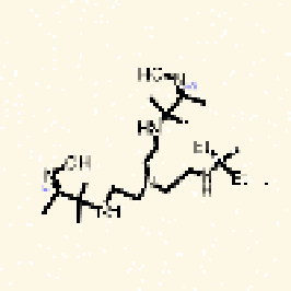 CCC(C)(CC)NCCN(CCNC(C)(C)/C(C)=N\O)CCNC(C)(C)/C(C)=N\O